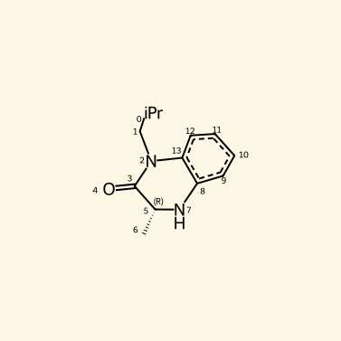 CC(C)CN1C(=O)[C@@H](C)Nc2ccccc21